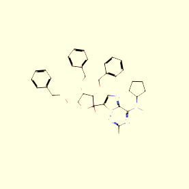 CN(c1nc(Cl)nn2c(C3(O)O[C@H](COCc4ccccc4)[C@@H](OCc4ccccc4)[C@H]3OCc3ccccc3)cnc12)C1CCCC1